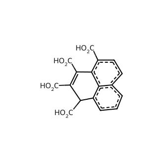 O=C(O)C1=C(C(=O)O)C(C(=O)O)c2cccc3ccc(C(=O)O)c1c23